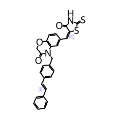 O=C1NC(=S)S/C1=C/c1ccc2c(c1)N(Cc1ccc(/C=C/c3ccccc3)cc1)C(=O)CO2